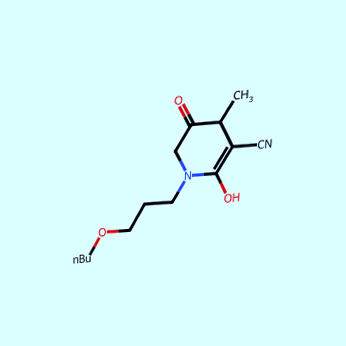 CCCCOCCCN1CC(=O)C(C)C(C#N)=C1O